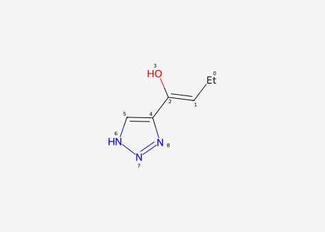 CCC=C(O)c1c[nH]nn1